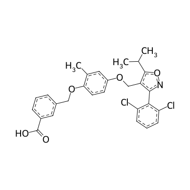 Cc1cc(OCc2c(-c3c(Cl)cccc3Cl)noc2C(C)C)ccc1OCc1cccc(C(=O)O)c1